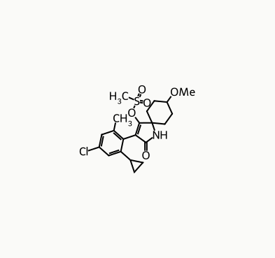 COC1CCC2(CC1)NC(=O)C(c1c(C)cc(Cl)cc1C1CC1)=C2OS(C)(=O)=O